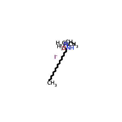 CCCCCCCCCCCCCCCCCC(=O)NC(C)[N+](C)(C)C.[I-]